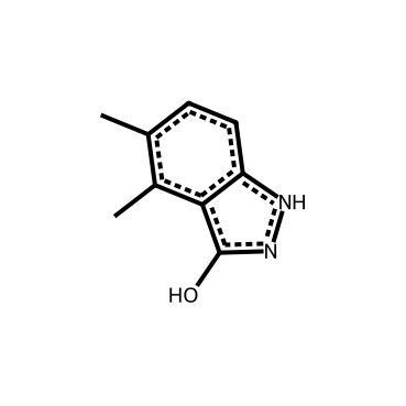 Cc1ccc2[nH]nc(O)c2c1C